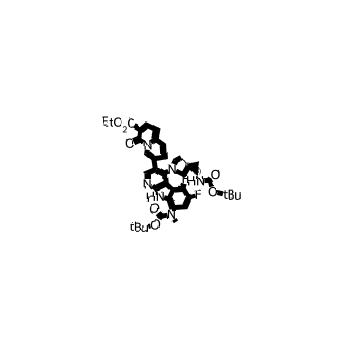 CCOC(=O)c1ccc2ccc(-c3cnc4[nH]c5c(N(C)C(=O)OC(C)(C)C)cc(F)c(F)c5c4c3N3CC[C@@]4(C[C@@H]4NC(=O)OC(C)(C)C)C3)cn2c1=O